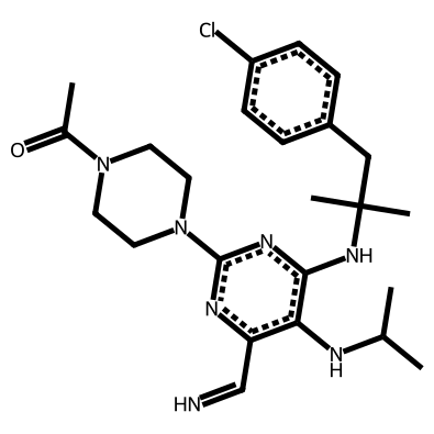 CC(=O)N1CCN(c2nc(C=N)c(NC(C)C)c(NC(C)(C)Cc3ccc(Cl)cc3)n2)CC1